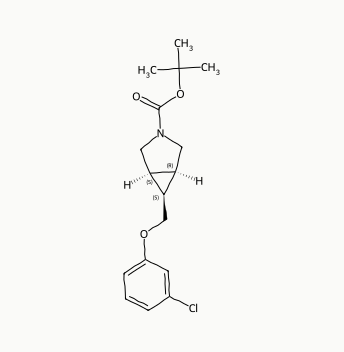 CC(C)(C)OC(=O)N1C[C@@H]2[C@H](COc3cccc(Cl)c3)[C@@H]2C1